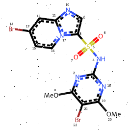 COc1nc(NS(=O)(=O)c2cnc3cc(Br)ccn23)nc(OC)c1Br